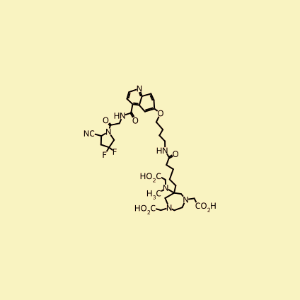 CN(CC(=O)O)C1(CCCCC(=O)NCCCCOc2ccc3nccc(C(=O)NCC(=O)N4CC(F)(F)CC4C#N)c3c2)CN(CC(=O)O)CCN(CC(=O)O)C1